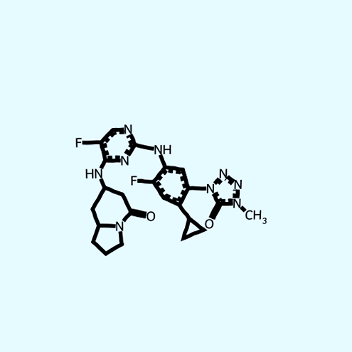 Cn1nnn(-c2cc(Nc3ncc(F)c(NC4CC(=O)N5CCCC5C4)n3)c(F)cc2C2CC2)c1=O